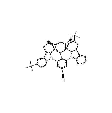 CC(C)(C)c1ccc2c(c1)c1ccccc1n2-c1cc(C#N)cc(-n2c3ccccc3c3cc(C(C)(C)C)ccc32)c1-c1cc(C#N)cc(C#N)c1